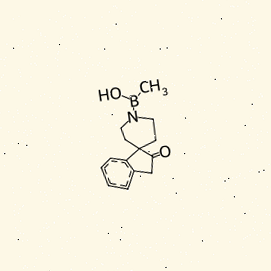 CB(O)N1CCC2(CC1)C(=O)Cc1ccccc12